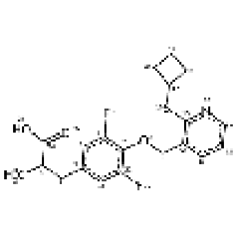 CC(Cc1cc(F)c(OCc2cccnc2SC2CCC2)c(F)c1)C(=O)O